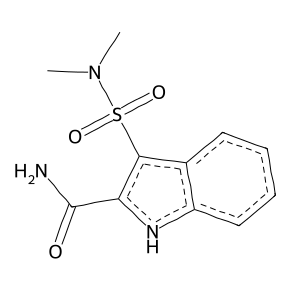 CN(C)S(=O)(=O)c1c(C(N)=O)[nH]c2ccccc12